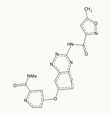 CNC(=O)c1cc(Oc2ccc3nc(NC(=O)c4cc(C)on4)nnc3c2)ccn1